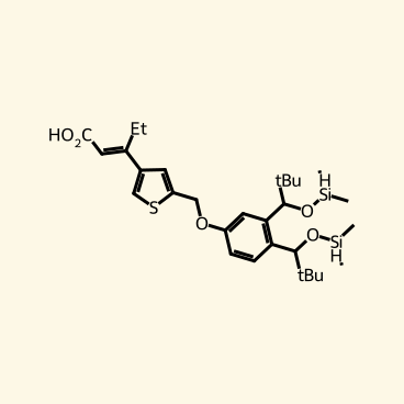 CCC(=CC(=O)O)c1csc(COc2ccc(C(O[SiH](C)C)C(C)(C)C)c(C(O[SiH](C)C)C(C)(C)C)c2)c1